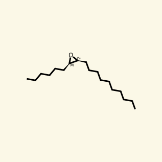 CCCCCCCCCC[C@@H]1O[C@@H]1CCCCCC